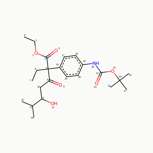 CCOC(=O)C(CC)(C(=O)CC(O)C(C)C)c1ccc(NC(=O)OC(C)(C)C)cc1